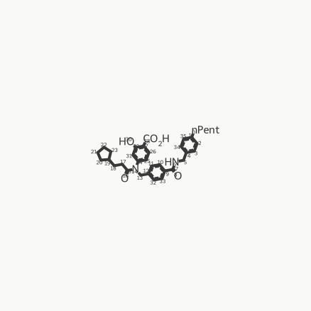 CCCCCc1ccc(CNC(=O)c2ccc(CN(C(=O)CCC3CCCC3)c3ccc(C(=O)O)c(O)c3)cc2)cc1